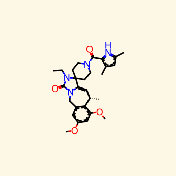 CCN1C(=O)N2Cc3cc(OC)cc(OC)c3[C@@H](C)C=C2C12CCN(C(=O)c1[nH]c(C)cc1C)CC2